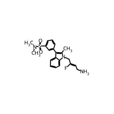 Cc1c(-c2cccc(S(=O)(=O)N(C)C)c2)c2ccccc2n1CC(F)=CCN